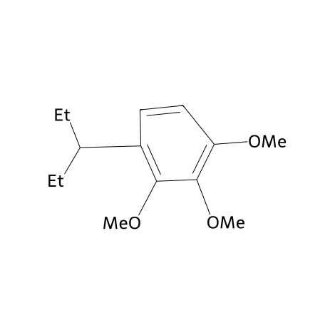 CCC(CC)c1ccc(OC)c(OC)c1OC